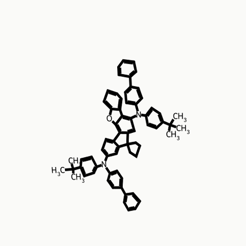 CC(C)(C)c1ccc(N(c2ccc(-c3ccccc3)cc2)c2ccc3c(c2)C2(CCCC2)c2cc(N(c4ccc(-c5ccccc5)cc4)c4ccc(C(C)(C)C)cc4)c4c(oc5ccccc54)c2-3)cc1